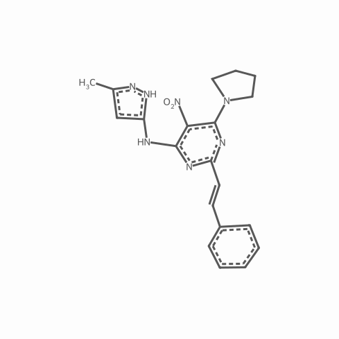 Cc1cc(Nc2nc(C=Cc3ccccc3)nc(N3CCCC3)c2[N+](=O)[O-])[nH]n1